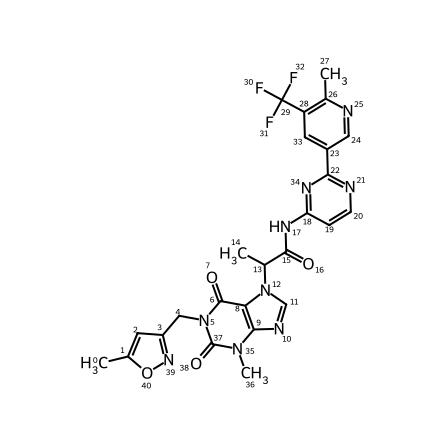 Cc1cc(Cn2c(=O)c3c(ncn3C(C)C(=O)Nc3ccnc(-c4cnc(C)c(C(F)(F)F)c4)n3)n(C)c2=O)no1